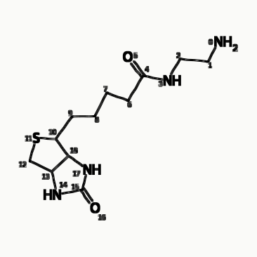 NCCNC(=O)CCCCC1SCC2NC(=O)NC21